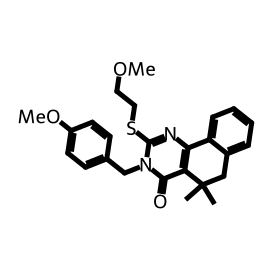 COCCSc1nc2c(c(=O)n1Cc1ccc(OC)cc1)C(C)(C)Cc1ccccc1-2